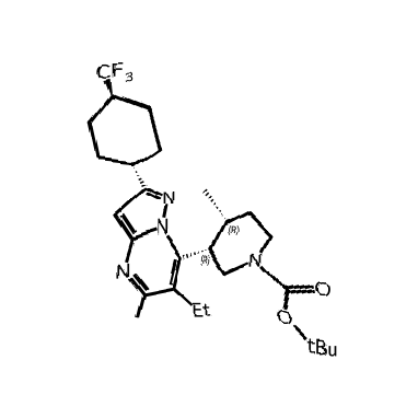 CCc1c(C)nc2cc([C@H]3CC[C@H](C(F)(F)F)CC3)nn2c1[C@H]1CN(C(=O)OC(C)(C)C)CC[C@H]1C